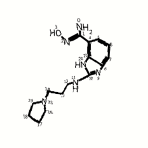 NC(=NO)c1cccc2nc(NCCCN3CCCC3)[nH]c12